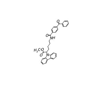 COC(=O)C(CCCCNC(=O)c1ccc(C(=O)c2ccccc2)cc1)n1c2ccccc2c2ccccc21